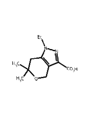 CCn1nc(C(=O)O)c2c1CC(C)(C)OC2